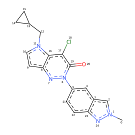 Cn1cc2cc(-n3nc4ccn(CC5CC5)c4c(Cl)c3=O)ccc2n1